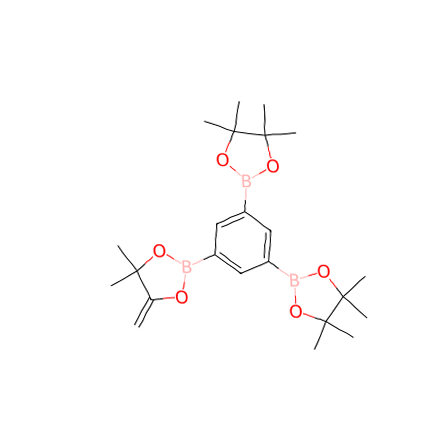 C=C1OB(c2cc(B3OC(C)(C)C(C)(C)O3)cc(B3OC(C)(C)C(C)(C)O3)c2)OC1(C)C